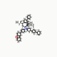 C=C1/C=C\C(N(c2ccc(-c3ccc(-c4ccccc4)cc3)cc2)c2ccc(-c3ccc4oc5ccccc5c4c3)cc2)=CC(C)(C)c2cc(-c3ccccc3)ccc21